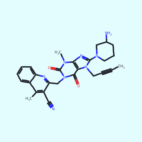 CC#CCn1c(N2CCCC(N)C2)nc2c1c(=O)n(Cc1nc3ccccc3c(C)c1C#N)c(=O)n2C